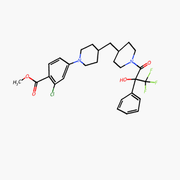 COC(=O)c1ccc(N2CCC(CC3CCN(C(=O)C(O)(c4ccccc4)C(F)(F)F)CC3)CC2)cc1Cl